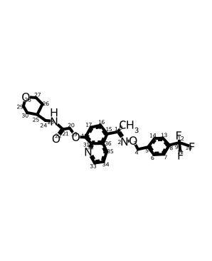 CC(=NOCc1ccc(C(F)(F)F)cc1)c1ccc(OCC(=O)NCC2CCOCC2)c2ncccc12